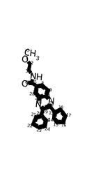 COCCNC(=O)c1ccc2nc(-c3ccccc3)c(-c3ccccc3)nc2c1